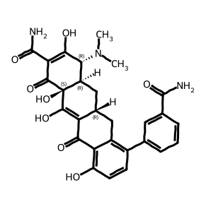 CN(C)[C@H]1C(O)=C(C(N)=O)C(=O)[C@@]2(O)C(O)=C3C(=O)c4c(O)ccc(-c5cccc(C(N)=O)c5)c4C[C@H]3C[C@H]12